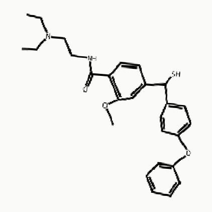 CCN(CC)CCNC(=O)c1ccc(C(S)c2ccc(Oc3ccccc3)cc2)cc1OC